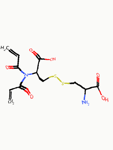 C=CC(=O)N(C(=O)C=C)C(CSSCC(N)C(=O)O)C(=O)O